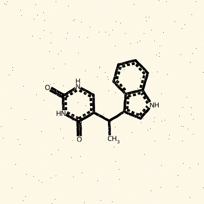 CC(c1c[nH]c(=O)[nH]c1=O)c1c[nH]c2ccccc12